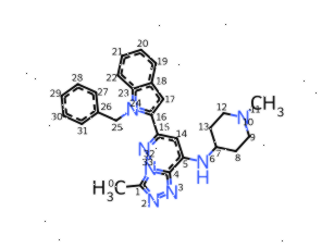 Cc1nnc2c(NC3CCN(C)CC3)cc(-c3cc4ccccc4n3Cc3ccccc3)nn12